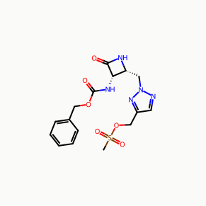 CS(=O)(=O)OCc1cnn(C[C@H]2NC(=O)[C@H]2NC(=O)OCc2ccccc2)n1